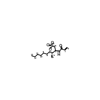 C=CC(=O)NC(CCCCCCCC)CS(=O)(=O)[O-].[K+]